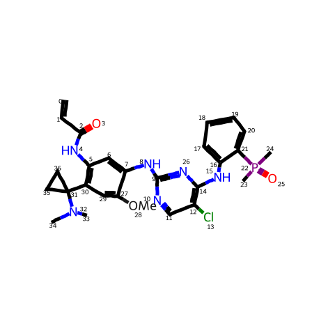 C=CC(=O)Nc1cc(Nc2ncc(Cl)c(Nc3ccccc3P(C)(C)=O)n2)c(OC)cc1C1(N(C)C)CC1